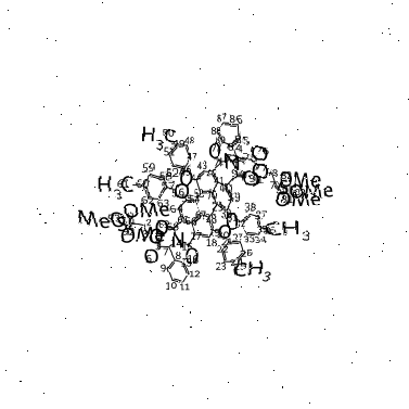 CO[Si](CCOC(=O)C(c1ccccc1)N1C(=O)c2cc(Oc3ccc(C)cc3)c3c4c(Oc5ccc(C)cc5)cc5c6c(cc(Oc7ccc(C)cc7)c(c7c(Oc8ccc(C)cc8)cc(c2c37)C1=O)c64)C(=O)N(C(C(=O)OCC[Si](OC)(OC)OC)c1ccccc1)C5=O)(OC)OC